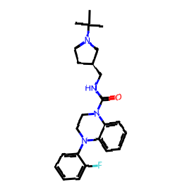 CC(C)(C)N1CC[C@H](CNC(=O)N2CCN(c3ccccc3F)c3ccccc32)C1